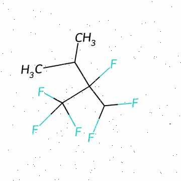 CC(C)C(F)(C(F)F)C(F)(F)F